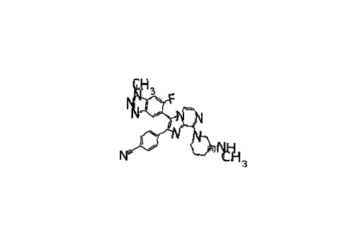 CN[C@@H]1CCCN(c2nccn3c(-c4cc5nnn(C)c5cc4F)c(-c4ccc(C#N)cc4)nc23)C1